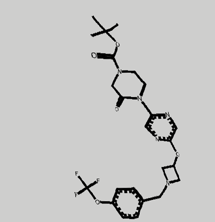 CC(C)(C)OC(=O)N1CCN(c2cnc(OC3CN(Cc4ccc(OC(F)(F)F)cc4)C3)cn2)C(=O)C1